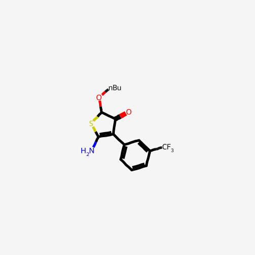 CCCCOC1SC(N)=C(c2cccc(C(F)(F)F)c2)C1=O